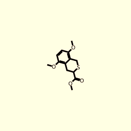 COC(=O)C1Cc2c(OC)ccc(OC)c2CS1